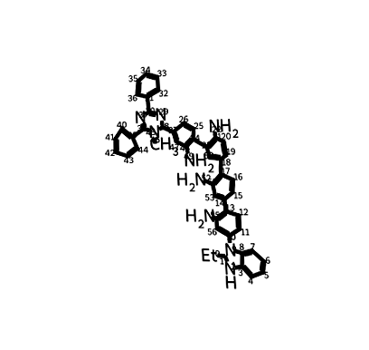 CCC1Nc2ccccc2N1c1ccc(-c2ccc(-c3ccc(N)c(-c4ccc(C5N=C(c6ccccc6)N=C(c6ccccc6)N5C)cc4N)c3)c(N)c2)c(N)c1